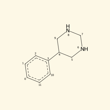 c1ccc(C2CNCNC2)cc1